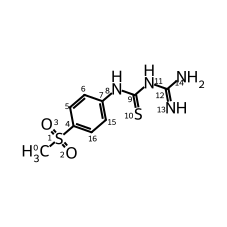 CS(=O)(=O)c1ccc(NC(=S)NC(=N)N)cc1